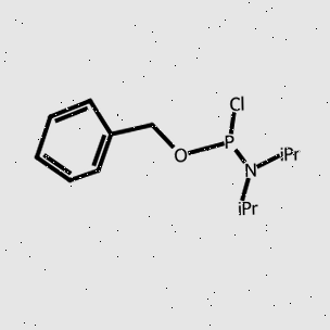 CC(C)N(C(C)C)P(Cl)OCc1ccccc1